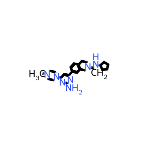 C=C(NC1CCCC1)N1CCc2ccc(-c3cc(N4CCN(C)CC4)nc(N)n3)cc2C1